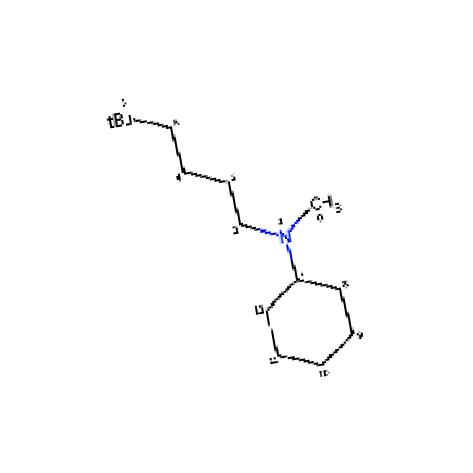 CN(CCCCC(C)(C)C)C1CCCCC1